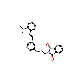 CC(C)c1ccccc1/C=C/c1cccc(CCCN2C(=O)c3ccccc3C2=O)c1